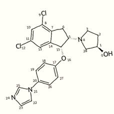 O[C@@H]1CCN([C@H]2Cc3c(Cl)cc(Cl)cc3[C@H]2Oc2ccc(-n3ccnc3)cc2)C1